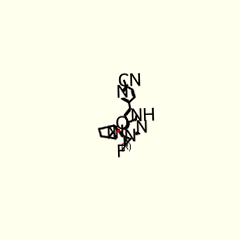 N#Cc1ccc(-c2cc3c(N4CC5CCC(C4)N5C(=O)C4C[C@H]4F)ncnc3[nH]2)cn1